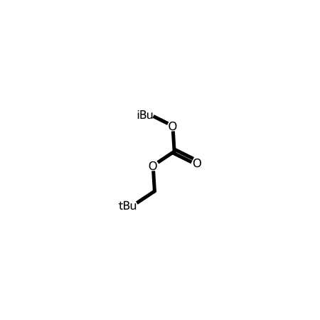 CCC(C)OC(=O)OCC(C)(C)C